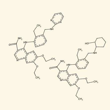 CCOc1cc2ncc(C(N)=O)c(Nc3cccc(CNC4CCCCC4O)c3CC)c2cc1OCC.CCOc1cc2ncc(C(N)=O)c(Nc3cccc(CNc4ncccn4)c3CC)c2cc1OCC